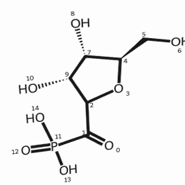 O=C(C1O[C@H](CO)[C@@H](O)[C@H]1O)P(=O)(O)O